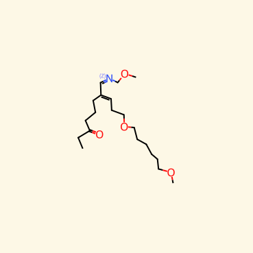 CCC(=O)CCCC(=CCCOCCCCCCOC)/C=N\COC